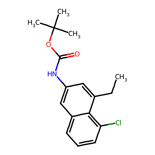 CCc1cc(NC(=O)OC(C)(C)C)cc2cccc(Cl)c12